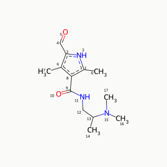 Cc1[nH]c(C=O)c(C)c1C(=O)NCC(C)N(C)C